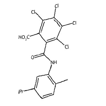 Cc1ccc(C(C)C)cc1NC(=O)c1c(Cl)c(Cl)c(Cl)c(Cl)c1C(=O)O